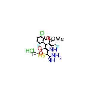 COC(=O)C1=C(CF)NC(C(S)C(=N)N)=C(C(=O)OC(C)C)C1c1c(F)ccc(Cl)c1C(F)(F)F.Cl